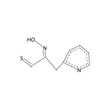 ON=C([C]=S)Cc1ccccn1